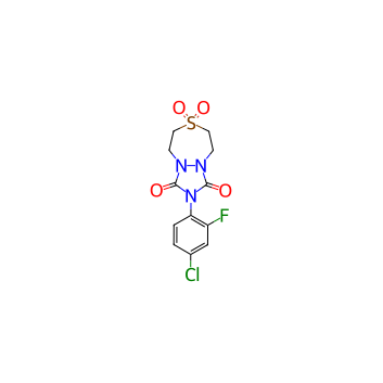 O=c1n(-c2ccc(Cl)cc2F)c(=O)n2n1CCS(=O)(=O)CC2